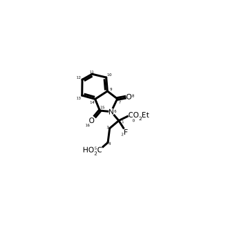 CCOC(=O)C(F)(CCC(=O)O)N1C(=O)c2ccccc2C1=O